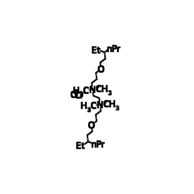 CCCC(CC)CCOCCC[N+](C)(C)CC[N+](C)(C)CCCOCCC(CC)CCC.[Cl-].[Cl-]